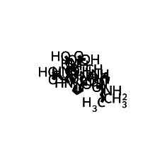 CC(C)C[C@H](NC(=O)[C@H](C)NC(=O)[C@@H]1CCCN1C(=O)[C@@H](N)CC(C)C)C(=O)N1CCC[C@H]1C(=O)N[C@@H](CCC(=O)O)C(=O)N[C@@H](CC(=O)O)C(=O)NCC(=O)O